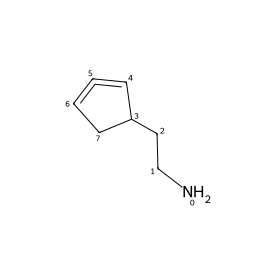 NCCC1C=C=CC1